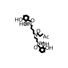 CC(=O)CCC(=O)N(CCCCNC(=O)c1cccc(O)c1O)CCCNC(=O)c1cccc(O)c1O